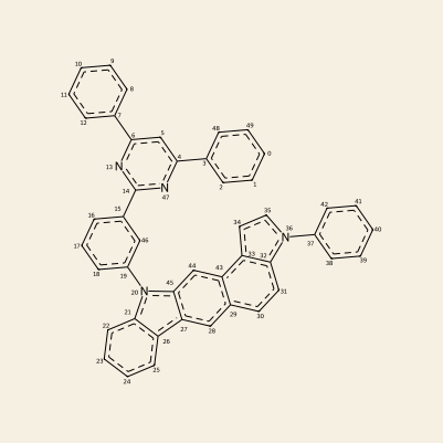 c1ccc(-c2cc(-c3ccccc3)nc(-c3cccc(-n4c5ccccc5c5cc6ccc7c(ccn7-c7ccccc7)c6cc54)c3)n2)cc1